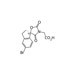 O=C(O)CN1C(=O)O[C@@]2(CCc3cc(Br)ccc32)C1=O